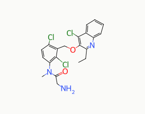 CCc1nc2ccccc2c(Cl)c1OCc1c(Cl)ccc(N(C)C(=O)CN)c1Cl